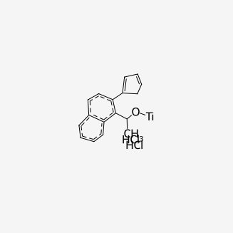 CC([O][Ti])c1c(C2=CC=CC2)ccc2ccccc12.Cl.Cl